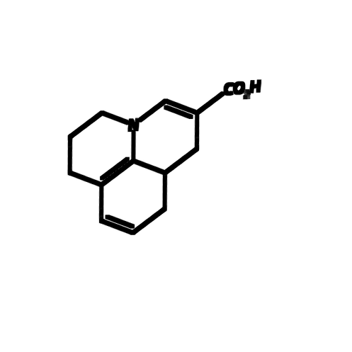 O=C(O)C1=CN2CCCC3=C2C(CC=C3)C1